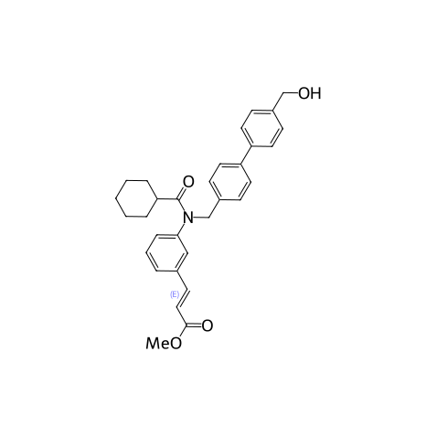 COC(=O)/C=C/c1cccc(N(Cc2ccc(-c3ccc(CO)cc3)cc2)C(=O)C2CCCCC2)c1